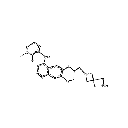 Cc1cccc(Nc2ncnc3cc4c(cc23)OC(CN2CC3(CNC3)C2)CO4)c1F